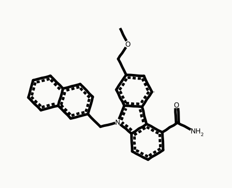 COCc1c[c]c2c3c(C(N)=O)cccc3n(Cc3ccc4ccccc4c3)c2c1